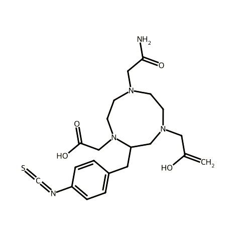 C=C(O)CN1CCN(CC(N)=O)CCN(CC(=O)O)C(Cc2ccc(N=C=S)cc2)C1